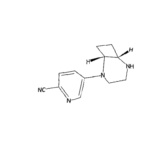 N#Cc1ccc(N2CCN[C@H]3CC[C@H]32)cn1